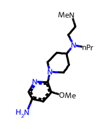 CCCN(CCNC)C1CCN(c2ncc(N)cc2OC)CC1